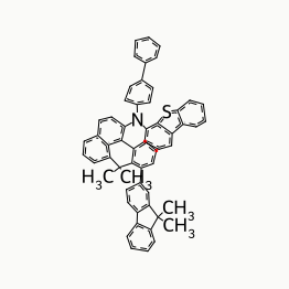 CC1(C)c2ccccc2-c2ccc(-c3cccc4c3C(C)(C)c3cccc5ccc(N(c6ccc(-c7ccccc7)cc6)c6cccc7c6sc6ccccc67)c-4c35)cc21